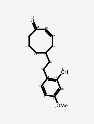 COc1ccc(CCC2CC=CC(=O)CCC2)c(O)c1